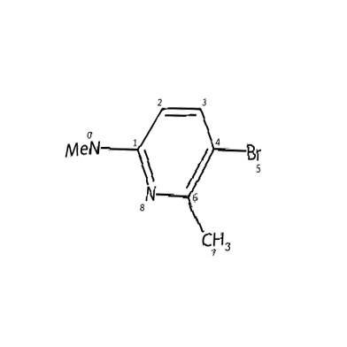 CNc1ccc(Br)c(C)n1